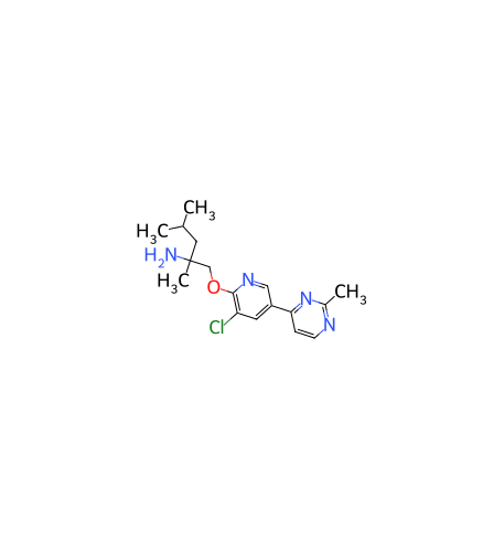 Cc1nccc(-c2cnc(OCC(C)(N)CC(C)C)c(Cl)c2)n1